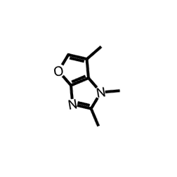 Cc1coc2nc(C)n(C)c12